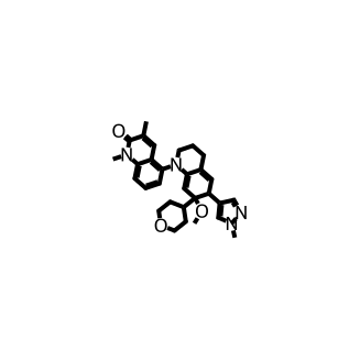 COC1(C2CCOCC2)C=C2C(=CC1c1cnn(C)c1)CCCN2c1cccc2c1cc(C)c(=O)n2C